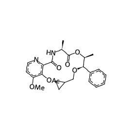 COc1ccnc(C(=O)N[C@@H](C)C(=O)O[C@@H](C)[C@H](OCC2CC2)c2ccccc2)c1OC(C)=O